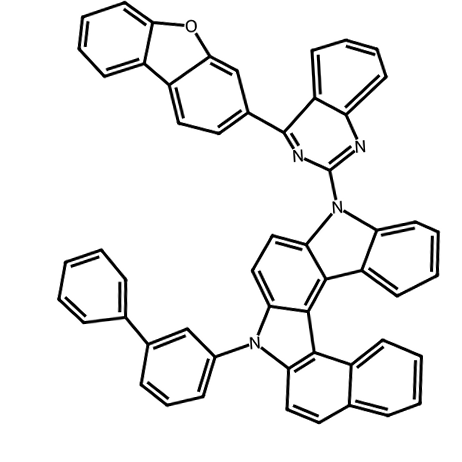 c1ccc(-c2cccc(-n3c4ccc5ccccc5c4c4c5c6ccccc6n(-c6nc(-c7ccc8c(c7)oc7ccccc78)c7ccccc7n6)c5ccc43)c2)cc1